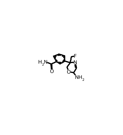 NC(=O)c1cccc(C2(CF)COC(N)C=N2)c1